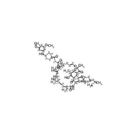 COc1cc(NC2CCN(C(=O)CC(=O)O[C@@H]3CC/C=C/O[C@@]4(C)Oc5c(C)c(O)c6c(c5C4=O)C4=NC5(CCN(CC(C)C)CC5)NC4=C(NC(=O)/C(C)=C\C=C\C(C)[C@H](O)CC(O)[C@H]3C)C6=O)CC2)cc(OC)c1